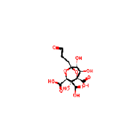 O=CCC[C@]12O[C@H](C(=O)O)[C@](O)(C(=O)O)[C@](C(=O)O)(O1)[C@H](O)[C@H]2O